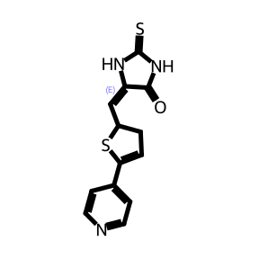 O=C1NC(=S)N/C1=C/C1CC=C(c2ccncc2)S1